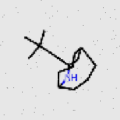 CC(C)(C)C1CC2CCCC(CCC2)N1